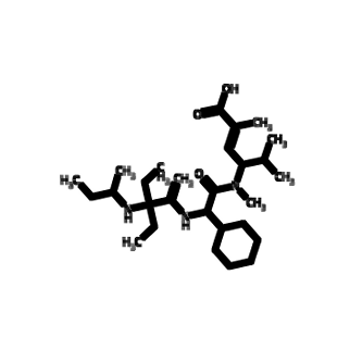 C=C(NC(C(=O)N(C)C(/C=C(\C)C(=O)O)C(C)C)C1CCCCC1)C(CC)(CC)NC(C)CC